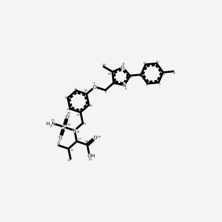 Cc1ccc(-c2nc(COc3cccc(CN(C(C(=O)O)C(C)C)S(N)(=O)=O)c3)c(C)o2)cc1